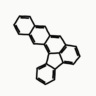 c1ccc2c(c1)-c1cccc3cc4cc5ccccc5cc4c-2c13